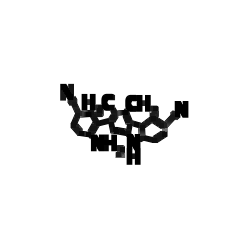 Cc1c(-c2cc(C#N)ccc2N)cc2[nH]c3ccc(C#N)cc3c2c1C